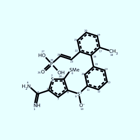 CSc1sc(C(=N)N)cc1[S+]([O-])c1cccc(-c2c(C)cccc2/C=C/P(=O)(O)O)c1